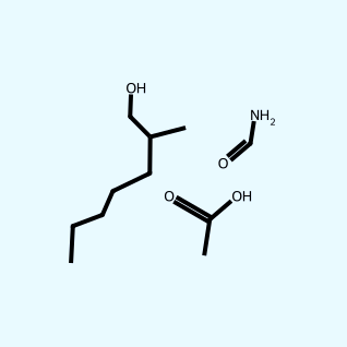 CC(=O)O.CCCCCC(C)CO.NC=O